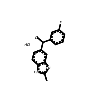 Cc1nc2cc(C(Cl)c3cccc(F)c3)ccc2[nH]1.Cl